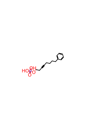 O=P(O)(O)OCCC#CCCCCc1ccccc1